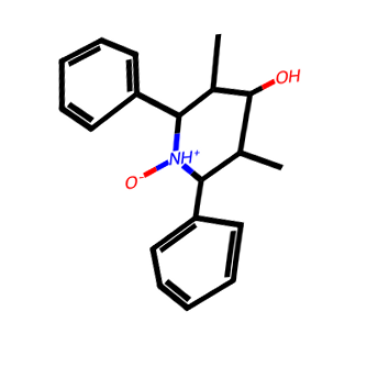 CC1C(O)C(C)C(c2ccccc2)[NH+]([O-])C1c1ccccc1